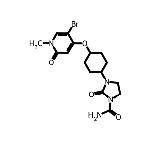 Cn1cc(Br)c(OC2CCC(N3CCN(C(N)=O)C3=O)CC2)cc1=O